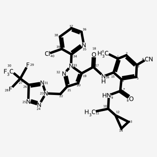 Cc1cc(C#N)cc(C(=O)NC(C)C2CC2)c1NC(=O)c1cc(Cn2nnc(C(F)(F)C(F)(F)F)n2)nn1-c1ncccc1Cl